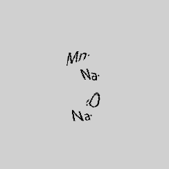 [Mn].[Na].[Na].[O]